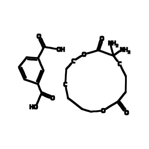 NC1(N)CCCC(=O)OCCCCCCOC1=O.O=C(O)c1cccc(C(=O)O)c1